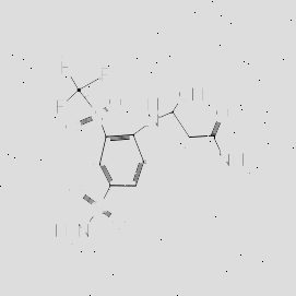 CC(CC(N)=O)Nc1ccc(S(N)(=O)=O)cc1S(=O)(=O)C(F)(F)F